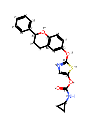 O=C(NC1CC1)Oc1cnc(Oc2ccc3c(c2)CCC(c2ccccc2)O3)s1